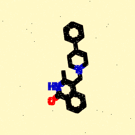 Cc1[nH]c(=O)c2ccccc2c1CN1CC=C(c2ccccc2)CC1